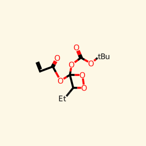 C=CC(=O)OC1(OC(=O)OC(C)(C)C)OOC1CC